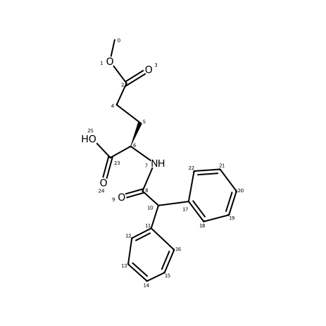 COC(=O)CC[C@@H](NC(=O)C(c1ccccc1)c1ccccc1)C(=O)O